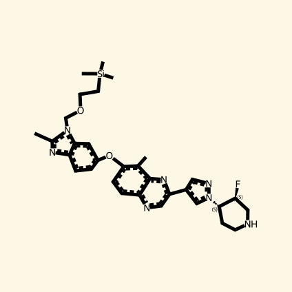 Cc1c(Oc2ccc3nc(C)n(COCC[Si](C)(C)C)c3c2)ccc2ncc(-c3cnn([C@H]4CCNC[C@@H]4F)c3)nc12